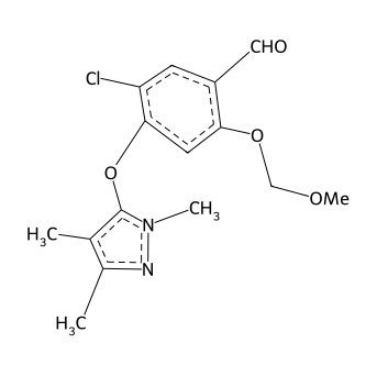 COCOc1cc(Oc2c(C)c(C)nn2C)c(Cl)cc1C=O